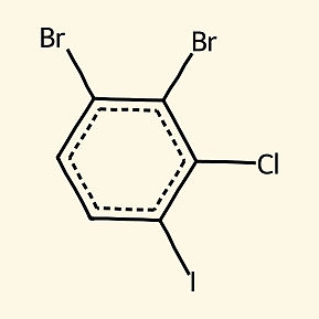 Clc1c(I)ccc(Br)c1Br